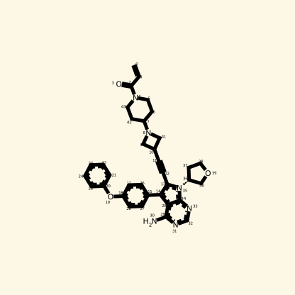 C=CC(=O)N1CCC(N2CC(C#Cc3c(-c4ccc(Oc5ccccc5)cc4)c4c(N)ncnc4n3[C@@H]3CCOC3)C2)CC1